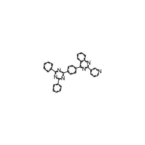 c1ccc(-c2nc(-c3ccccc3)nc(-c3ccc(-c4nc(-c5cccnc5)nc5ccccc45)cc3)n2)cc1